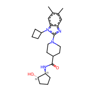 Cc1cc2nc(N3CCC(C(=O)N[C@H]4CCC[C@@H]4O)CC3)n(C3CCC3)c2cc1C